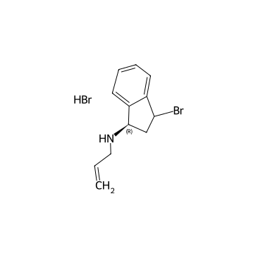 Br.C=CCN[C@@H]1CC(Br)c2ccccc21